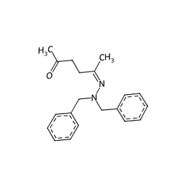 CC(=O)CCC(C)=NN(Cc1ccccc1)Cc1ccccc1